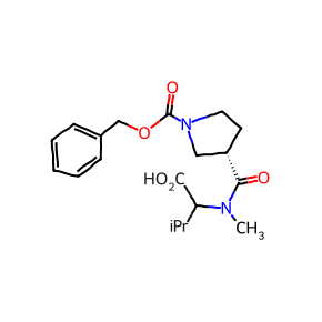 CC(C)C(C(=O)O)N(C)C(=O)[C@H]1CCN(C(=O)OCc2ccccc2)C1